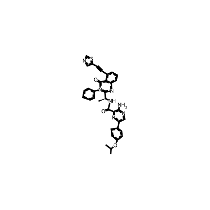 CC(C)Oc1ccc(-c2cnc(N)c(C(=O)N[C@@H](C)c3nc4cccc(C#Cc5cncs5)c4c(=O)n3-c3ccccc3)n2)cc1